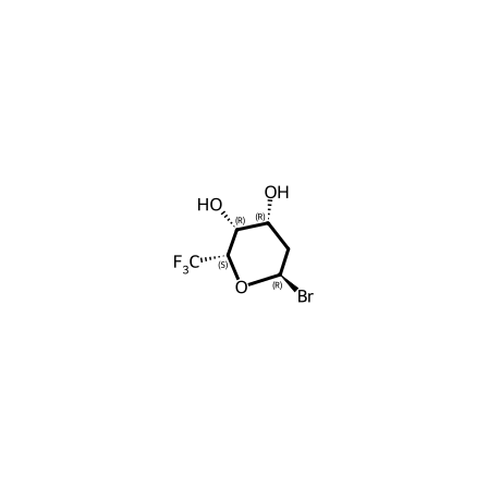 O[C@@H]1[C@H](O)C[C@@H](Br)O[C@@H]1C(F)(F)F